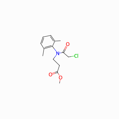 COC(=O)CCN(C(=O)CCl)c1c(C)cccc1C